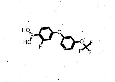 OB(O)c1ccc(Oc2cccc(OC(F)(F)F)c2)cc1F